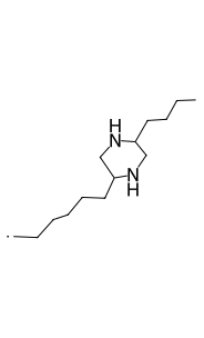 [CH2]CCCCCC1CNC(CCCC)CN1